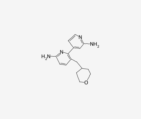 Nc1cc(-c2nc(N)ccc2CC2CCOCC2)ccn1